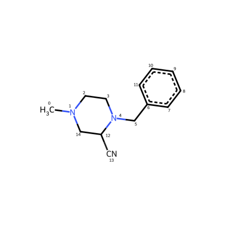 CN1CCN(Cc2ccccc2)C(C#N)C1